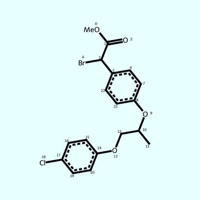 COC(=O)C(Br)c1ccc(OC(C)COc2ccc(Cl)cc2)cc1